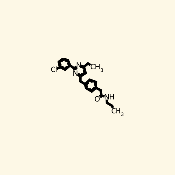 CCCNC(=O)Cc1ccc(Cc2cc(CC)nc(-c3cccc(Cl)c3)n2)cc1